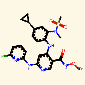 CC(C)ONC(=O)c1cnc(Nc2cccc(F)n2)cc1Nc1ccc(C2CC2)cc1N(C)S(C)(=O)=O